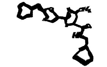 CC1N=C(c2cnc(Cc3ccccc3)o2)SC1C(=O)NCc1ccccc1